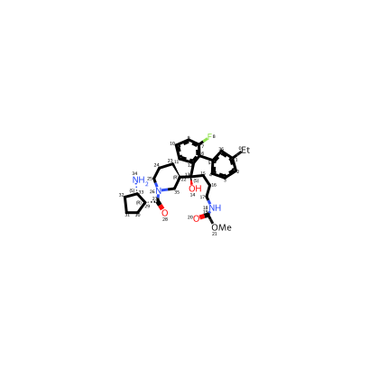 CCc1cccc(-c2c(F)cccc2[C@](O)(CCCNC(=O)OC)[C@@H]2CCCN(C(=O)[C@@H]3CCC[C@@H]3N)C2)c1